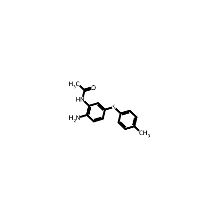 CC(=O)Nc1cc(Sc2ccc(C)cc2)ccc1N